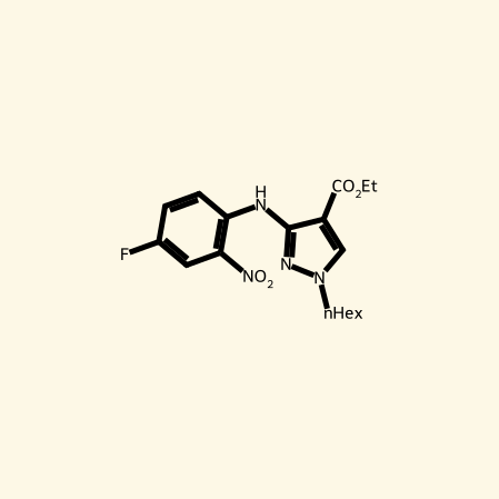 CCCCCCn1cc(C(=O)OCC)c(Nc2ccc(F)cc2[N+](=O)[O-])n1